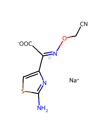 N#CCO/N=C(\C(=O)[O-])c1csc(N)n1.[Na+]